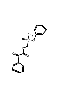 CP(=O)(CNC(=O)C(=O)c1ccccc1)Sc1ccccc1